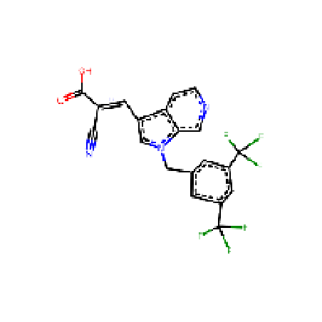 N#C/C(=C\c1cn(Cc2cc(C(F)(F)F)cc(C(F)(F)F)c2)c2cnccc12)C(=O)O